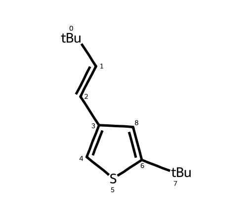 CC(C)(C)/C=C/c1csc(C(C)(C)C)c1